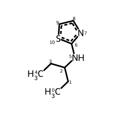 CCC(CC)Nc1nccs1